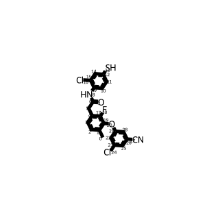 Cc1ccc(CC(=O)Nc2ccc(S)cc2Cl)c(F)c1Oc1cc(Cl)cc(C#N)c1